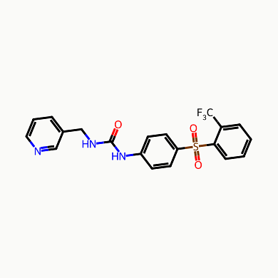 O=C(NCc1cccnc1)Nc1ccc(S(=O)(=O)c2ccccc2C(F)(F)F)cc1